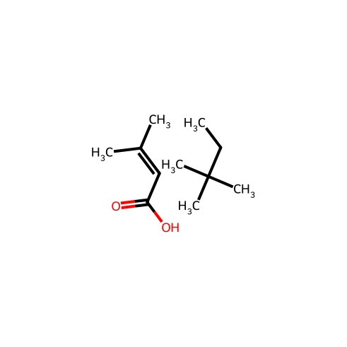 CC(C)=CC(=O)O.CCC(C)(C)C